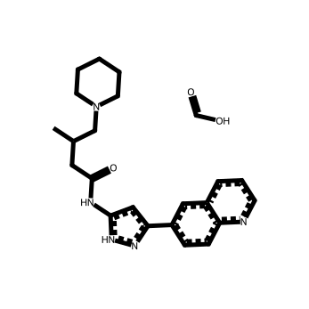 CC(CC(=O)Nc1cc(-c2ccc3ncccc3c2)n[nH]1)CN1CCCCC1.O=CO